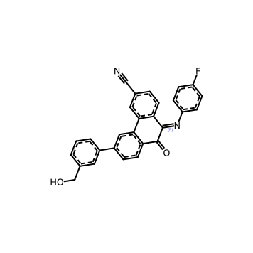 N#Cc1ccc2c(c1)-c1cc(-c3cccc(CO)c3)ccc1C(=O)/C2=N/c1ccc(F)cc1